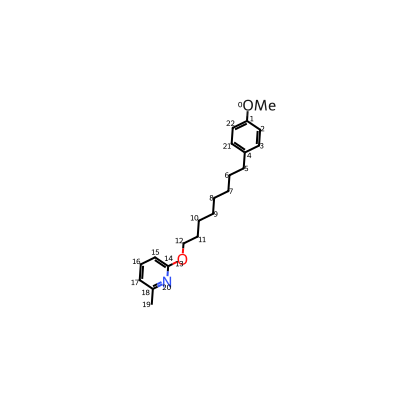 COc1ccc(CCCCCCCCOc2cccc(C)n2)cc1